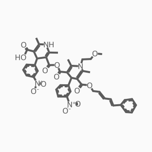 COCCN1C(C)=C(C(=O)OCC=CC=Cc2ccccc2)C(c2cccc([N+](=O)[O-])c2)C(C(=O)OC(=O)C2=C(C)NC(C)=C(C(=O)O)C2c2cccc([N+](=O)[O-])c2)=C1C